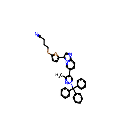 Cc1nn(C(c2ccccc2)(c2ccccc2)c2ccccc2)cc1-c1ccc2ncc(-c3ccc(SCCCC#N)s3)n2c1